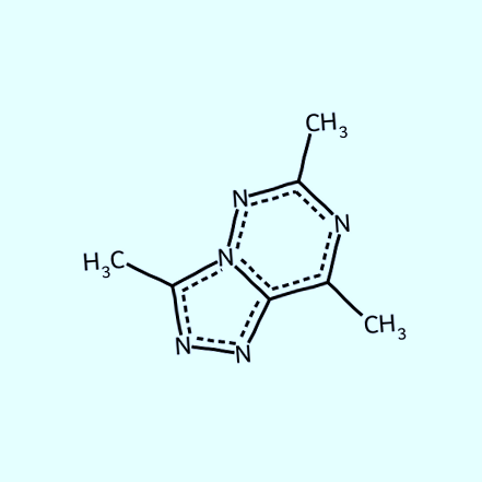 Cc1nc(C)c2nnc(C)n2n1